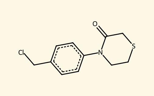 O=C1CSCCN1c1ccc(CCl)cc1